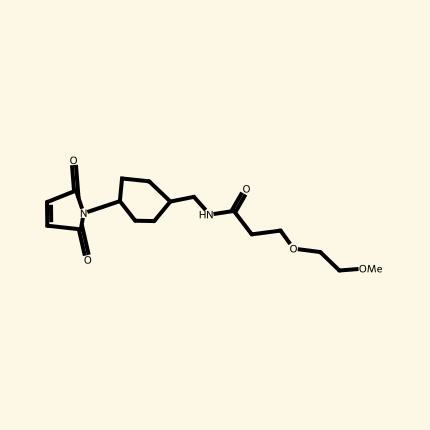 COCCOCCC(=O)NCC1CCC(N2C(=O)C=CC2=O)CC1